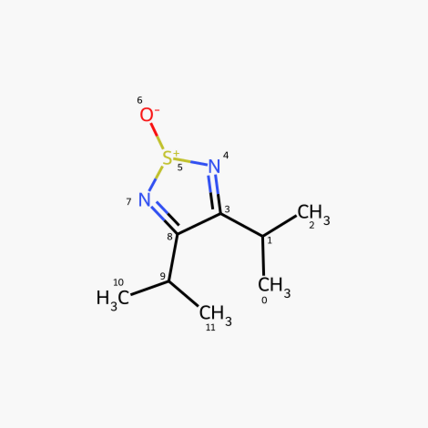 CC(C)c1n[s+]([O-])nc1C(C)C